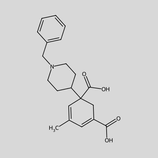 CC1=CC(C(=O)O)(C2CCN(Cc3ccccc3)CC2)CC(C(=O)O)=C1